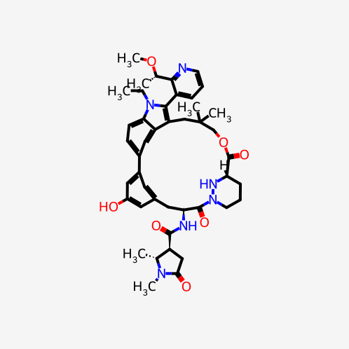 CCn1c(-c2cccnc2[C@H](C)OC)c2c3cc(ccc31)-c1cc(O)cc(c1)C[C@H](NC(=O)[C@H]1CC(=O)N(C)[C@@H]1C)C(=O)N1CCC[C@H](N1)C(=O)OCC(C)(C)C2